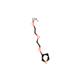 COCCOCCOc1[c]s[c]c1